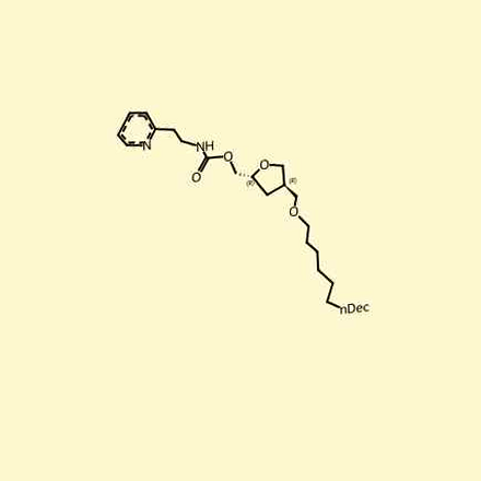 CCCCCCCCCCCCCCCCOC[C@@H]1CO[C@@H](COC(=O)NCCc2ccccn2)C1